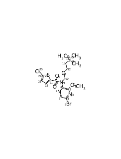 COc1nc(Br)cnc1N(COCC[Si](C)(C)C)S(=O)(=O)c1ccc(Cl)s1